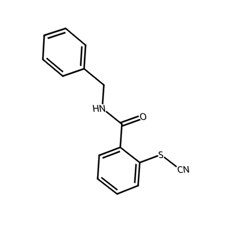 N#CSc1ccccc1C(=O)NCc1ccccc1